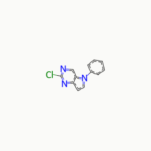 Clc1ncc2c(ccn2-c2ccccc2)n1